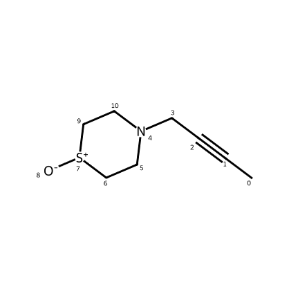 CC#CCN1CC[S+]([O-])CC1